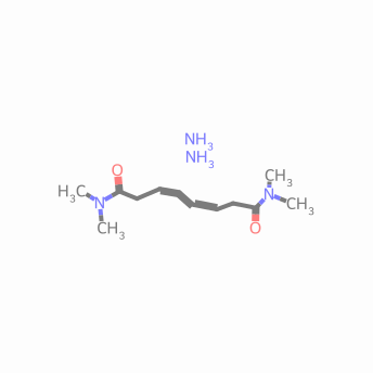 CN(C)C(=O)CC=C=C=CCC(=O)N(C)C.N.N